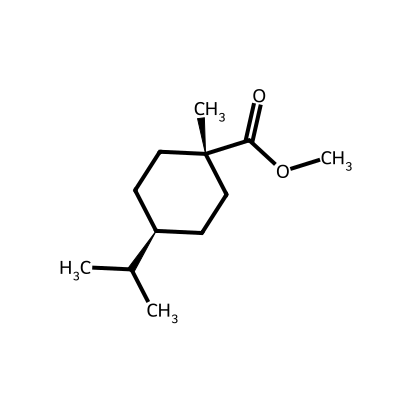 COC(=O)[C@]1(C)CC[C@@H](C(C)C)CC1